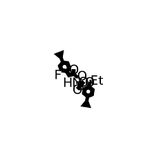 CCOc1ccc(C2CC2)cc1S(=O)(=O)NC(=O)c1cc2c(F)cc(C3CC3)cc2o1